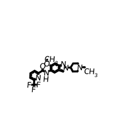 CCN1CCC(n2cc3cc(NC(=O)c4cccc(C(F)(F)F)n4)c(OC)cc3n2)CC1